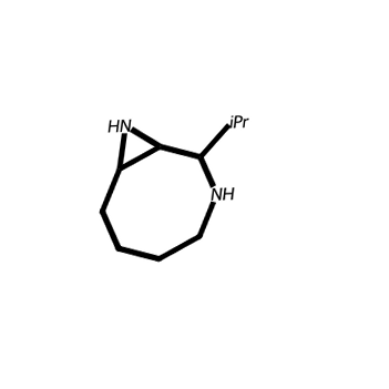 CC(C)C1NCCCCC2NC21